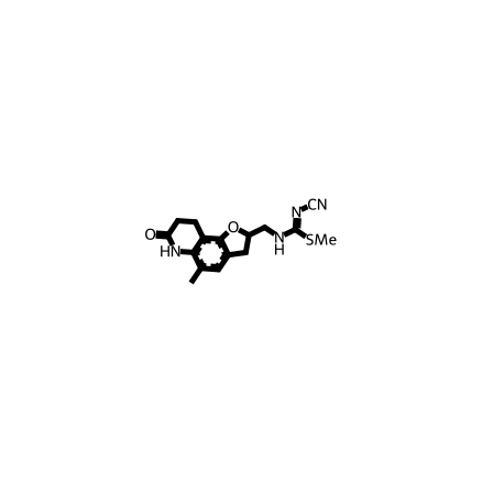 CSC(=NC#N)NCC1Cc2cc(C)c3c(c2O1)CCC(=O)N3